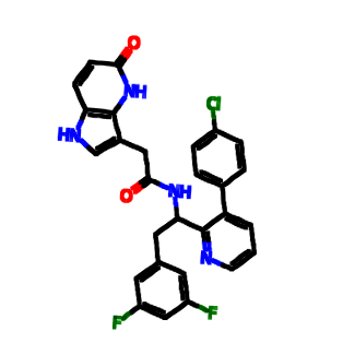 O=C(Cc1c[nH]c2ccc(=O)[nH]c12)NC(Cc1cc(F)cc(F)c1)c1ncccc1-c1ccc(Cl)cc1